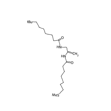 C=C(CNC(=O)CCCCCCC(C)(C)C)NC(=O)CCCCCCSC